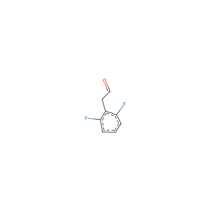 O=[C]Cc1c(F)cccc1F